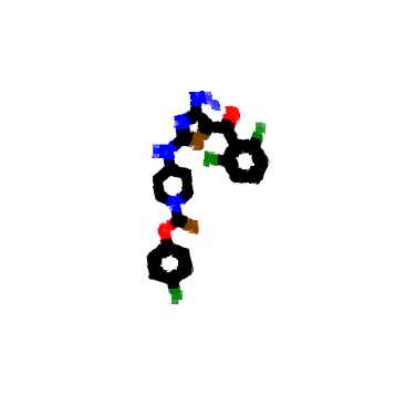 Nc1nc(NC2CCN(C(=S)Oc3ccc(F)cc3)CC2)sc1C(=O)c1c(F)cccc1F